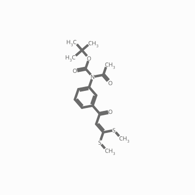 CSC(=CC(=O)c1cccc(N(C(C)=O)C(=O)OC(C)(C)C)c1)SC